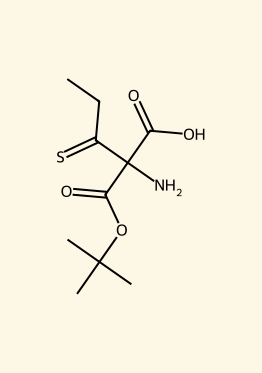 CCC(=S)C(N)(C(=O)O)C(=O)OC(C)(C)C